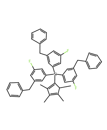 CC1=C(C)C(C)C([Si](c2cc(F)cc(Cc3ccccc3)c2)(c2cc(F)cc(Cc3ccccc3)c2)c2cc(F)cc(Cc3ccccc3)c2)=C1C